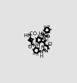 O=C(O)NC12CC(C(=O)NC3CCCC(Nc4ncc(Cl)c(-c5cn(S(=O)(=O)c6ccccc6)c6ccccc56)n4)C3)(C1)C2